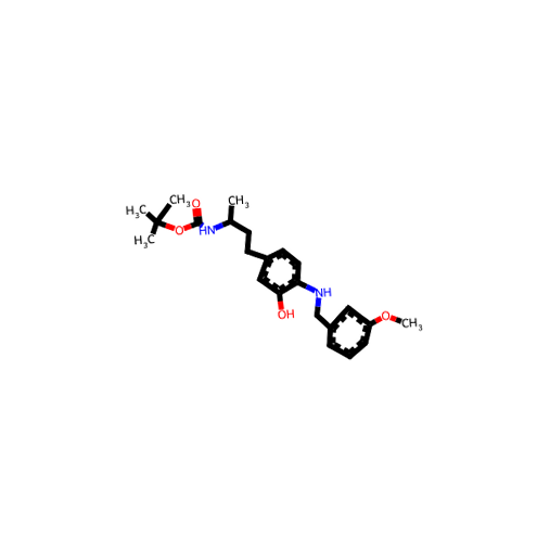 COc1cccc(CNc2ccc(CCC(C)NC(=O)OC(C)(C)C)cc2O)c1